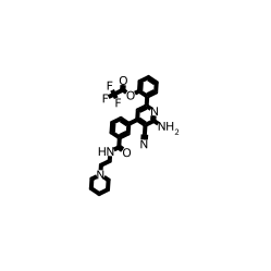 N#Cc1c(-c2cccc(C(=O)NCCN3CCCCC3)c2)cc(-c2ccccc2OC(=O)C(F)(F)F)nc1N